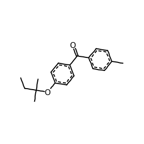 CCC(C)(C)Oc1ccc(C(=O)c2ccc(C)cc2)cc1